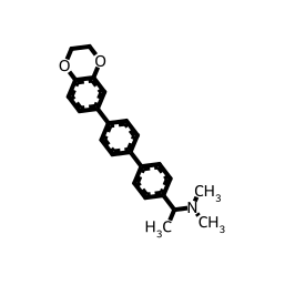 CC(c1ccc(-c2ccc(-c3ccc4c(c3)OCCO4)cc2)cc1)N(C)C